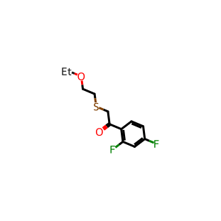 CCOCCSCC(=O)c1ccc(F)cc1F